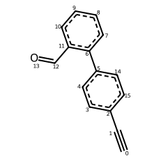 C#Cc1ccc(-c2ccccc2C=O)cc1